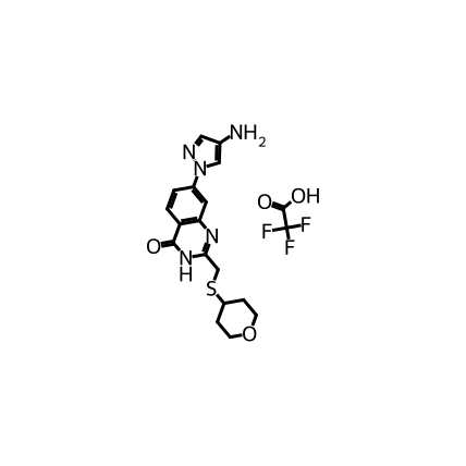 Nc1cnn(-c2ccc3c(=O)[nH]c(CSC4CCOCC4)nc3c2)c1.O=C(O)C(F)(F)F